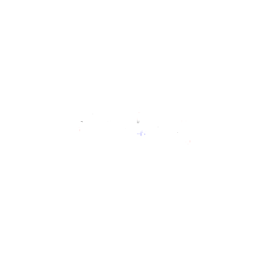 COC(=O)/C=C/NC(=O)CCCCC(C)=O